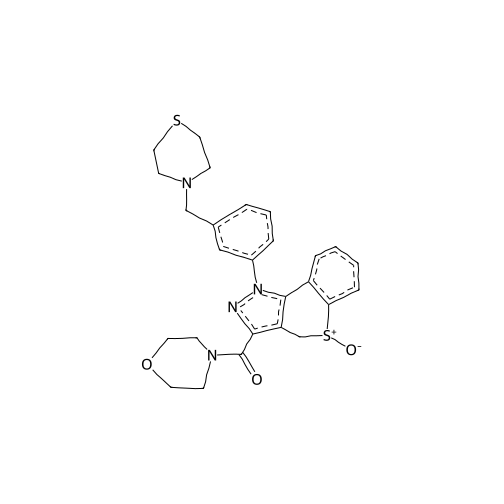 O=C(c1nn(-c2cccc(CN3CCSCC3)c2)c2c1C[S+]([O-])c1ccccc1-2)N1CCOCC1